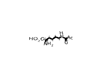 CC(=O)C(=O)NCCCC[C@H](N)C(=O)O